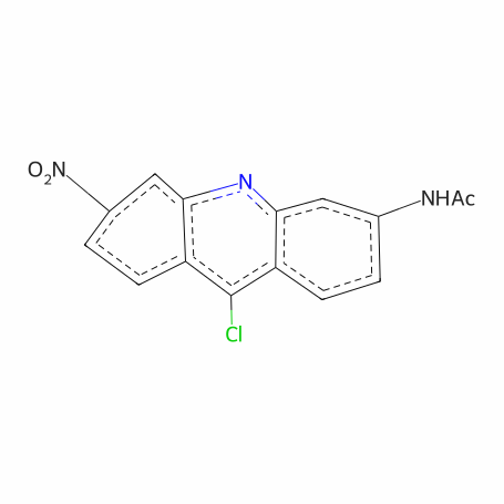 CC(=O)Nc1ccc2c(Cl)c3ccc([N+](=O)[O-])cc3nc2c1